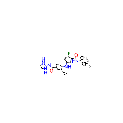 CC(C)NC(=O)c1cc(Nc2ccc(C(=O)N=C3NCCN3)cc2C2CC2)ccc1F